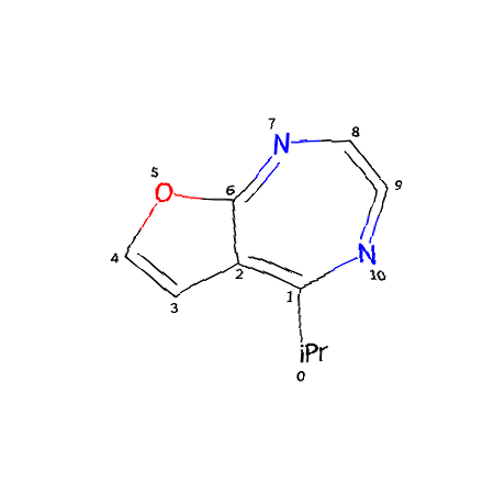 CC(C)C1=c2ccoc2=NC=C=N1